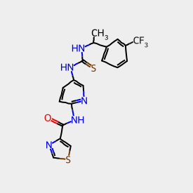 CC(NC(=S)Nc1ccc(NC(=O)c2cscn2)nc1)c1cccc(C(F)(F)F)c1